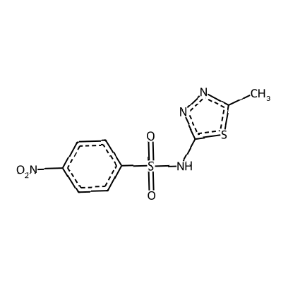 Cc1nnc(NS(=O)(=O)c2ccc([N+](=O)[O-])cc2)s1